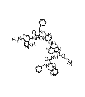 C[Si](C)(C)CCOCn1ncc2c(N)ncc(NC(=O)C(=O)N(Cc3ccccc3)Cc3ncccn3)c21.Nc1ncc(NC(=O)C(=O)N(Cc2ccccc2)Cc2ncccn2)c2[nH]ncc12